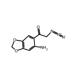 [N-]=[N+]=NCC(=O)c1cc2c(cc1N)OCO2